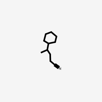 CC(CCC#N)C1CCCCC1